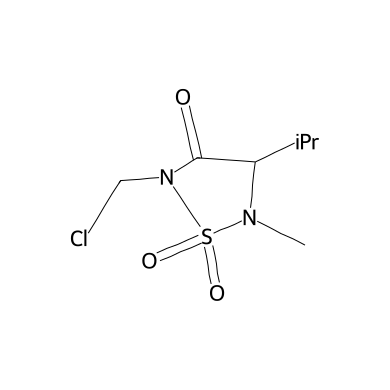 CC(C)C1C(=O)N(CCl)S(=O)(=O)N1C